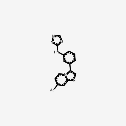 CC(=O)c1ccn2c(-c3cccc(Nc4nncs4)c3)cnc2c1